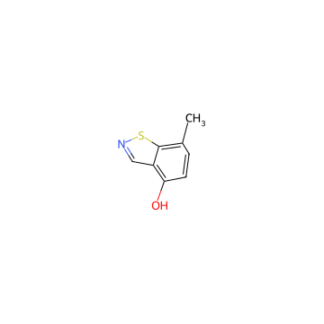 Cc1ccc(O)c2cnsc12